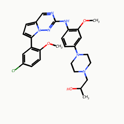 COc1cc(N2CCN(CC(C)O)CC2)ccc1Nc1ncc2ccc(-c3cc(Cl)ccc3OC)n2n1